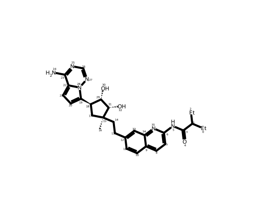 CCC(CC)C(=O)Nc1ccc2ccc(CC[C@@]3(C)C[C@@H](c4ccc5c(N)ncnn45)[C@H](O)[C@@H]3O)cc2n1